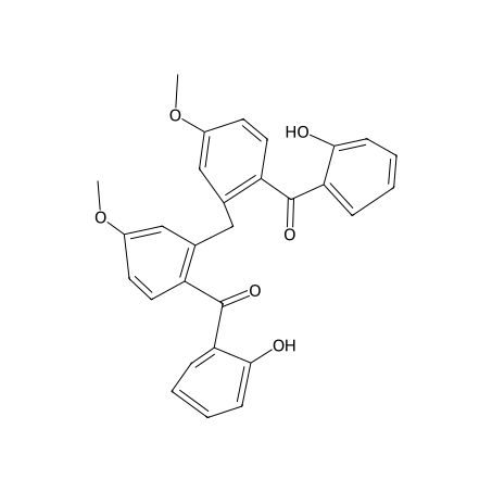 COc1ccc(C(=O)c2ccccc2O)c(Cc2cc(OC)ccc2C(=O)c2ccccc2O)c1